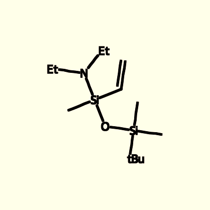 C=C[Si](C)(O[Si](C)(C)C(C)(C)C)N(CC)CC